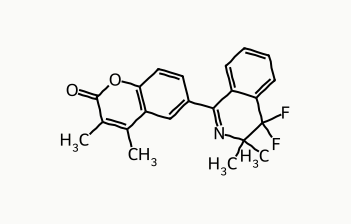 Cc1c(C)c2cc(C3=NC(C)(C)C(F)(F)c4ccccc43)ccc2oc1=O